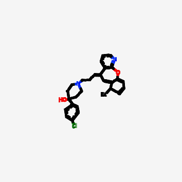 CCC1C=CC=C2Oc3ncccc3C(=CCCN3CCC(O)(c4ccc(Cl)cc4)CC3)C=C21